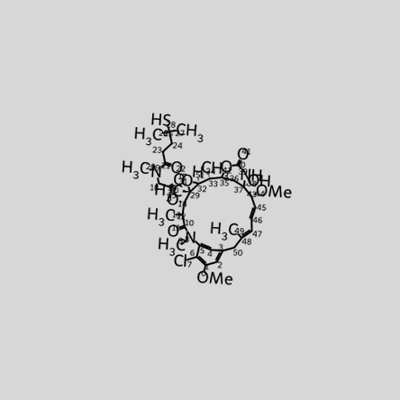 COc1cc2cc(c1Cl)N(C)C(=O)C(C)[C@H](OC(=O)CN(C)C(=O)CCC(C)(C)S)[C@]1(C)O[C@H]1[C@H](C)C1C[C@@](O)(NC(=O)O1)[C@H](OC)/C=C/C=C(\C)C2